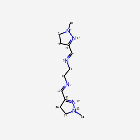 CN1CCC(C=NCCN=CC2=NN(C)CC2)=N1